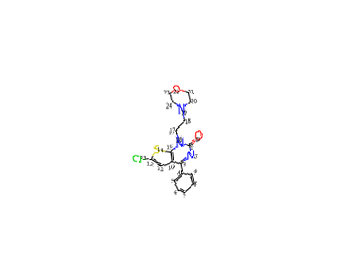 O=c1nc(-c2ccccc2)c2cc(Cl)sc2n1CCN1CCOCC1